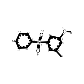 COc1cc(C)cc(S(=O)(=O)c2ccccc2)c1